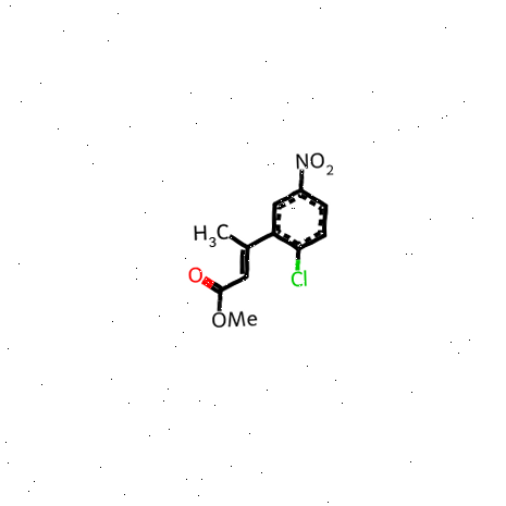 COC(=O)C=C(C)c1cc([N+](=O)[O-])ccc1Cl